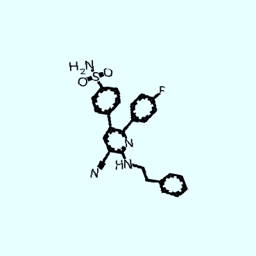 N#Cc1cc(-c2ccc(S(N)(=O)=O)cc2)c(-c2ccc(F)cc2)nc1NCCc1ccccc1